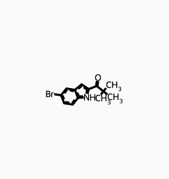 CC(C)(C)C(=O)c1cc2cc(Br)ccc2[nH]1